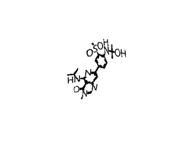 CC(C)Nc1nc(-c2ccc(NC(C)(C)O)c(S(C)(=O)=O)c2)cc2ncn(C)c(=O)c12